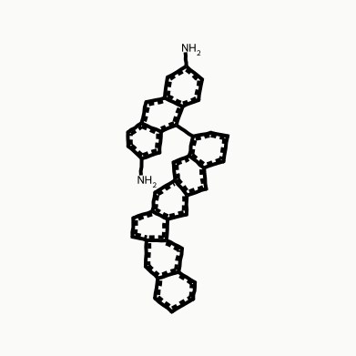 Nc1ccc2c(-c3cccc4cc5cc6c(ccc7cc8ccccc8cc76)cc5cc34)c3cc(N)ccc3cc2c1